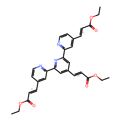 CCOC(=O)/C=C/c1ccnc(-c2cc(/C=C/C(=O)OCC)cc(-c3cc(/C=C/C(=O)OCC)ccn3)n2)c1